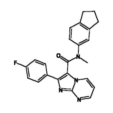 CN(C(=O)c1c(-c2ccc(F)cc2)nc2ncccn12)c1ccc2c(c1)CCC2